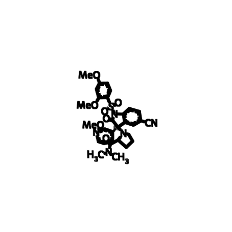 COc1ccc(S(=O)(=O)N2C(=O)[C@](c3cccnc3OC)(N3CCCC3C(=O)N(C)C)c3cc(C#N)ccc32)c(OC)c1